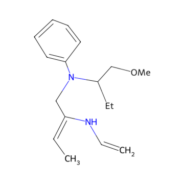 C=CN/C(=C\C)CN(c1ccccc1)C(CC)COC